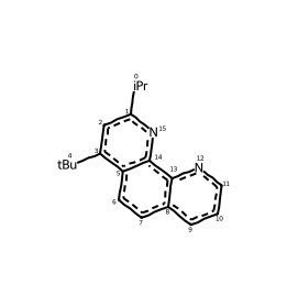 CC(C)c1cc(C(C)(C)C)c2ccc3cccnc3c2n1